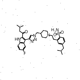 CC(C)CC(=O)c1[nH]c2ccc(F)cc2c1-c1cn(CC2CCN(CCc3cc(CC(C)C)ccc3S(N)(=O)=O)CC2)nn1